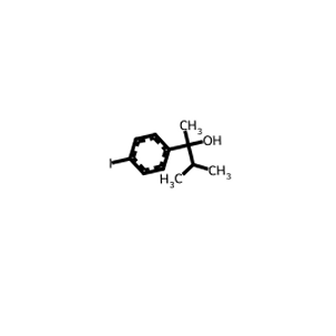 CC(C)C(C)(O)c1ccc(I)cc1